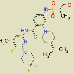 CC(C)=C1CCN(c2cc(NS(=O)(=O)[C@H](C)CO)ccc2C(=O)Nc2cc(C)c(F)c(N3CCC(F)(F)CC3)n2)CC1